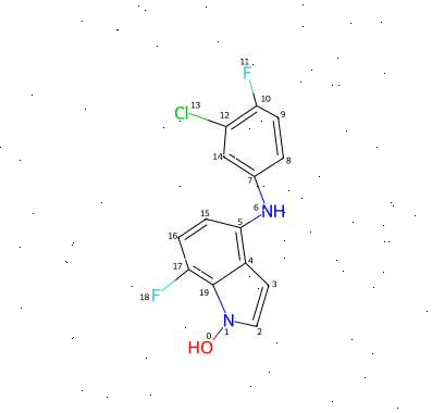 On1ccc2c(Nc3ccc(F)c(Cl)c3)ccc(F)c21